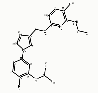 CCNc1nc(OCc2cn(-c3ccc(F)c(OC(F)F)c3)nn2)ncc1F